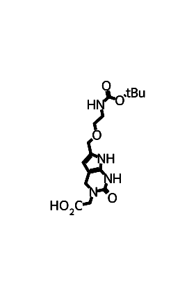 CC(C)(C)OC(=O)NCCOCc1cc2c([nH]1)NC(=O)N(CC(=O)O)C2